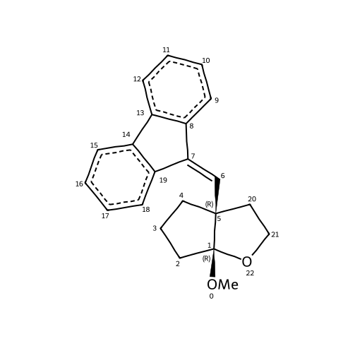 CO[C@@]12CCC[C@]1(C=C1c3ccccc3-c3ccccc31)CCO2